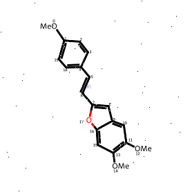 COc1ccc(/C=C/c2cc3cc(OC)c(OC)cc3o2)cc1